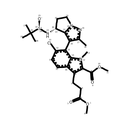 COC(=O)CCc1c(C(=O)OC)n(C)c2c(-c3c(C)nn4c3[C@H](N[S@+]([O-])C(C)(C)C)CC4)c(Cl)ccc12